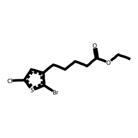 CCOC(=O)CCCCc1cc(Cl)sc1Br